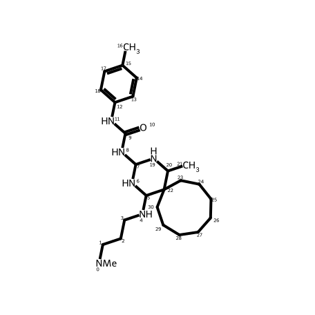 CNCCCNC1NC(NC(=O)Nc2ccc(C)cc2)NC(C)C12CCCCCCCC2